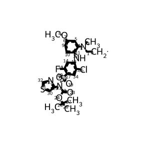 [CH2]CN(C)c1cc(OC)ccc1Nc1cc(F)c(S(=O)(=O)N(C(=O)OC(C)(C)C)c2cscn2)cc1Cl